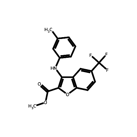 COC(=O)c1oc2ccc(C(F)(F)F)cc2c1Nc1cccc(C)c1